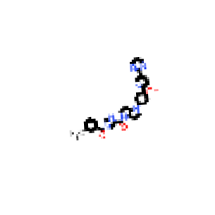 O=C(c1cn(C(=O)c2cccc(C(F)(F)F)c2)cn1)N1CCC2C1CCN2C1CCC(O)(c2ccc(-c3ncccn3)cn2)CC1